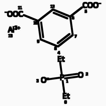 CCP(=O)([O-])CC.O=C([O-])c1cccc(C(=O)[O-])c1.[Al+3]